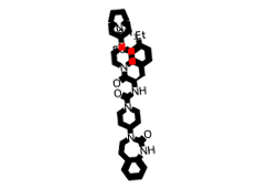 CCc1ccc(C[C@@H](NC(=O)N2CCC(N3CCc4ccccc4NC3=O)CC2)C(=O)N2CCN(C3CC4CCC(C3)N4C)CC2)cc1CC